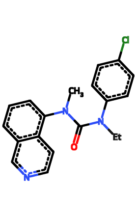 CCN(C(=O)N(C)c1cccc2cnccc12)c1ccc(Cl)cc1